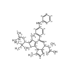 Cc1c(C(O[SiH](C)C)C(C)(C)C)sc2c1C(c1ccc(Nc3ccccc3)cc1)=NC([C@H](C)C(=O)O)c1nnc(C)n1-2